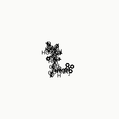 CC(C)[C@H](NC(=O)[C@H](CC(=O)OC(C)(C)C)NC(=O)[C@H](COC(C)(C)C)NC(=O)[C@@H](NC(=O)[C@H](Cc1ccccc1)NC(=O)[C@@H](NC(=O)CNC(=O)[C@H](CCC(=O)OC(C)(C)C)NC(=O)C(C)(C)NC(=O)[C@@H](N)Cc1cn(C(c2ccccc2)(c2ccccc2)c2ccccc2)cn1)[C@@H](C)OC(C)(C)C)[C@@H](C)OC(C)(C)C)C(=O)O